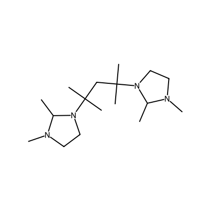 CC1N(C)CCN1C(C)(C)CC(C)(C)N1CCN(C)C1C